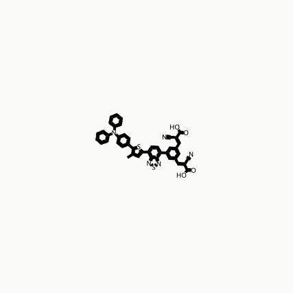 Cc1cc(-c2ccc(-c3cc(/C=C(\C#N)C(=O)O)cc(/C=C(\C#N)C(=O)O)c3)c3nsnc23)sc1-c1ccc(N(c2ccccc2)c2ccccc2)cc1